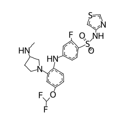 CNC1CCN(c2cc(OC(F)F)ccc2Nc2ccc(S(=O)(=O)Nc3cscn3)c(F)c2)C1